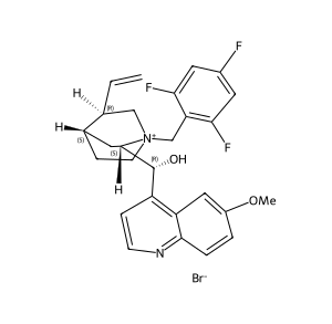 C=C[C@H]1C[N+]2(Cc3c(F)cc(F)cc3F)CC[C@H]1C[C@H]2[C@H](O)c1ccnc2ccc(OC)cc12.[Br-]